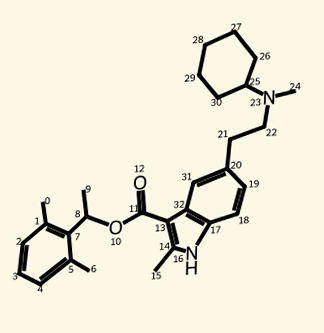 Cc1cccc(C)c1C(C)OC(=O)c1c(C)[nH]c2ccc(CCN(C)C3CCCCC3)cc12